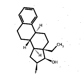 CC[C@]12CC[C@@H]3c4cc[c]cc4CC[C@H]3[C@@H]1C[C@H](F)[C@@H]2O